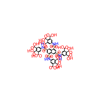 O=C(O)c1cc(NS(=O)(=O)c2cc(S(=O)(=O)Nc3cc(C(=O)O)c(C(=O)O)c(C(=O)O)c3)c3cc(S(=O)(=O)Nc4cc(C(=O)O)c(C(=O)O)c(C(=O)O)c4)cc(S(=O)(=O)Nc4cc(C(=O)O)c(C(=O)O)c(C(=O)O)c4)c3c2)cc(C(=O)O)c1C(=O)O